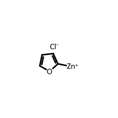 [Cl-].[Zn+][c]1ccco1